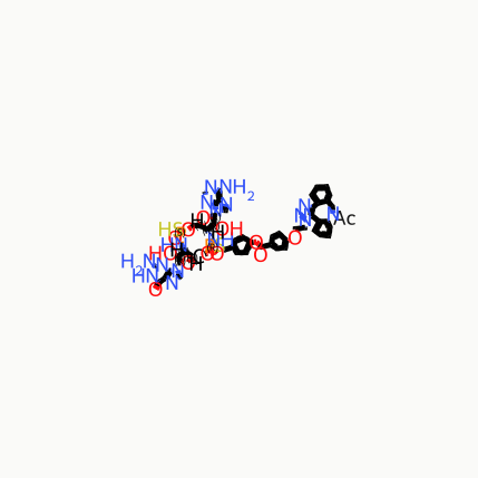 CC(=O)N1Cc2ccccc2-c2nnn(CCOc3ccc(C(=O)Oc4ccc(CS[P@@]5(=O)N[C@@H]6[C@@H](O)[C@H](n7cnc8c(N)ncnc87)O[C@@H]6CO[P@](=O)(S)N[C@H]6[C@@H](O)[C@H](n7cnc8c(=O)[nH]c(N)nc87)O[C@@H]6CO5)cc4)cc3)c2-c2ccccc21